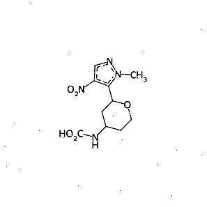 Cn1ncc([N+](=O)[O-])c1C1CC(NC(=O)O)CCO1